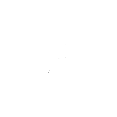 C=CC(=O)N1C[C@@H](C)N(I)C[C@@H]1CC#N